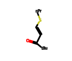 CCCSC=CC(=O)C(C)(C)C